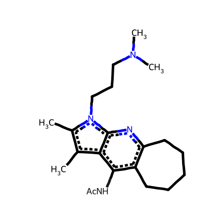 CC(=O)Nc1c2c(nc3c1c(C)c(C)n3CCCN(C)C)CCCCC2